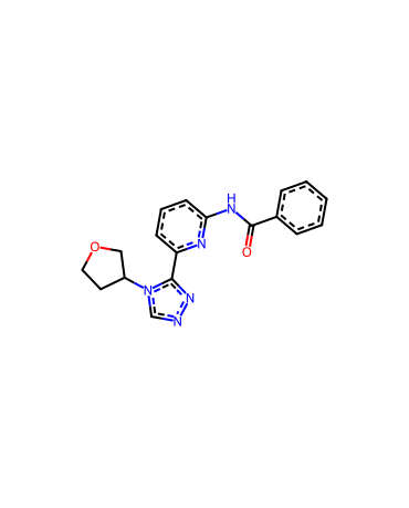 O=C(Nc1cccc(-c2nncn2C2CCOC2)n1)c1ccccc1